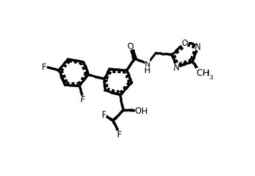 Cc1noc(CNC(=O)c2cc(-c3ccc(F)cc3F)cc(C(O)C(F)F)c2)n1